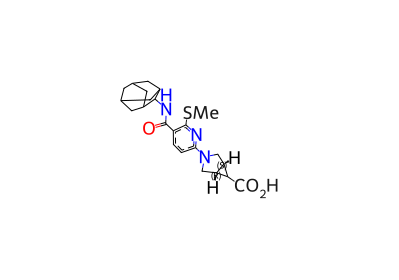 CSc1nc(N2C[C@@H]3C(C(=O)O)[C@@H]3C2)ccc1C(=O)NC1C2CC3CC(C2)CC1C3